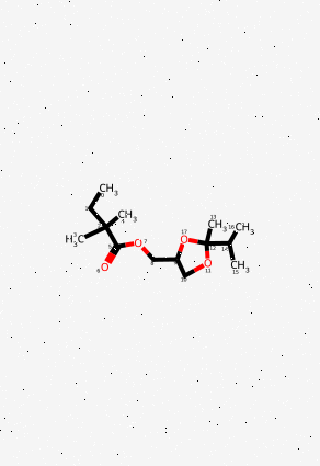 CCC(C)(C)C(=O)OCC1COC(C)(C(C)C)O1